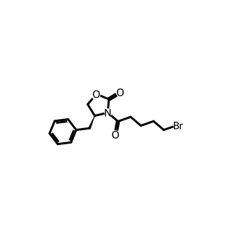 O=C(CCCCBr)N1C(=O)OC[C@@H]1Cc1ccccc1